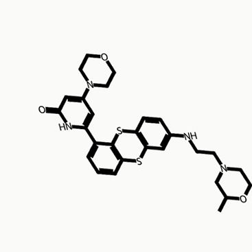 CC1CN(CCNc2ccc3c(c2)Sc2cccc(-c4cc(N5CCOCC5)cc(=O)[nH]4)c2S3)CCO1